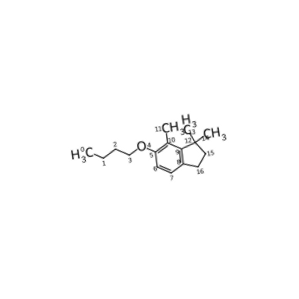 CCCCOc1ccc2c(c1C)C(C)(C)CC2